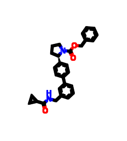 O=C(NCc1cccc(-c2ccc([C@@H]3CCCN3C(=O)OCc3ccccc3)cc2)c1)C1CC1